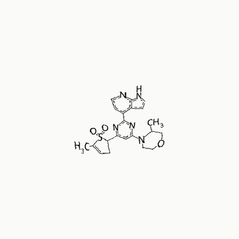 CC1=CCC(c2cc(N3CCOCC3C)nc(-c3ccnc4[nH]ccc34)n2)S1(=O)=O